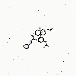 C=CCN1CC[C@@]2(c3cccc(OC(C)=O)c3)C[C@H](N(C)C(=O)/C=C/c3ccoc3)CC[C@@H]2C1